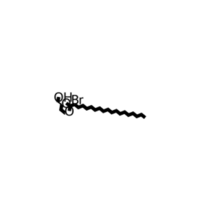 CCCCCCCCCCCCCCCCCC(Br)C1OCC[C@@H](CO)O1